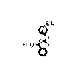 CCOC(=O)C(OC(=O)OC1C[N+]2(C)CCC1CC2)c1ccccc1